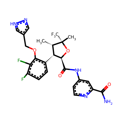 C[C@H]1[C@@H](c2ccc(F)c(F)c2OCc2cn[nH]c2)[C@H](C(=O)Nc2ccnc(C(N)=O)c2)O[C@@]1(C)C(F)(F)F